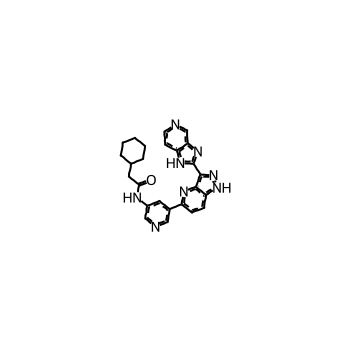 O=C(CC1CCCCC1)Nc1cncc(-c2ccc3[nH]nc(-c4nc5cnccc5[nH]4)c3n2)c1